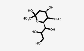 CC(=O)NC1[C@@H](C(O)C(O)CO)OC(O)(C(=O)O)C[C@H]1O